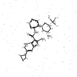 Nc1oc2c(c1C(=O)Nc1cnccc1N1C[C@@H](N)C[C@@H](C(F)(F)F)C1)NCC(C1CCC1)=C2